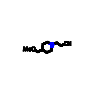 COCC1CCN(CCC#N)CC1